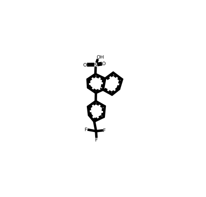 O=S(=O)(O)c1ccc(-c2ccc(C(F)(F)F)cc2)c2ccccc12